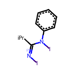 CC(C)/C(=N/I)N(I)c1ccccc1